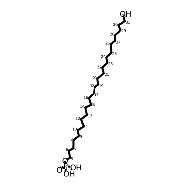 O=P(O)(O)OCCCCCCCCCCCCCCCCCCCCCCCCCCCO